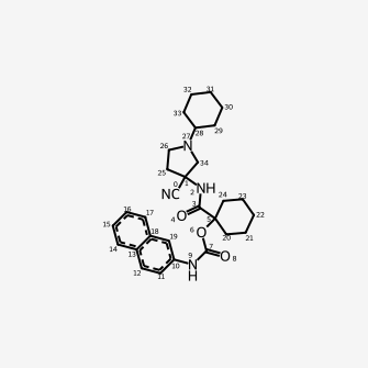 N#CC1(NC(=O)C2(OC(=O)Nc3ccc4ccccc4c3)CCCCC2)CCN(C2CCCCC2)C1